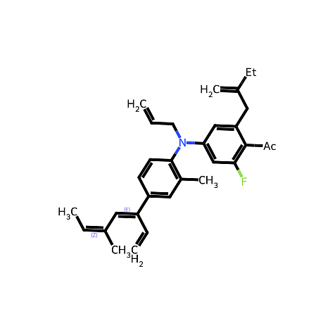 C=CCN(c1cc(F)c(C(C)=O)c(CC(=C)CC)c1)c1ccc(/C(C=C)=C/C(C)=C\C)cc1C